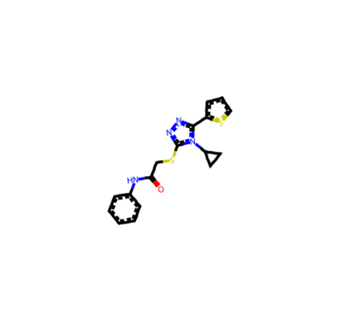 O=C(CSc1nnc(-c2cccs2)n1C1CC1)Nc1ccccc1